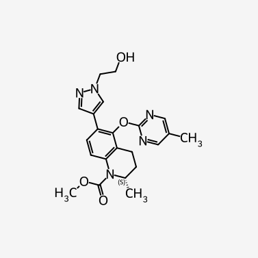 COC(=O)N1c2ccc(-c3cnn(CCO)c3)c(Oc3ncc(C)cn3)c2CC[C@@H]1C